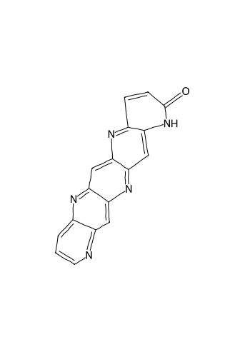 O=c1ccc2nc3cc4nc5cccnc5cc4nc3cc2[nH]1